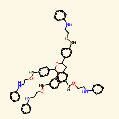 B(OCCNc1ccccc1)c1ccc(C(Cc2cccc(BOCCNc3ccccc3)c2)OC(Cc2cccc(BOCCNc3ccccc3)c2)c2ccc(BOCCNc3ccccc3)cc2)cc1